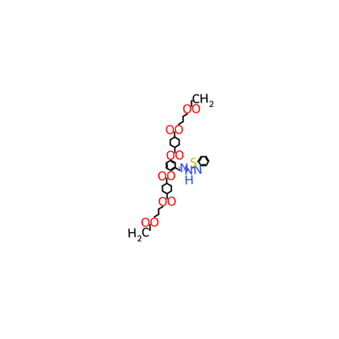 C=CC(=O)OCCCCOC(=O)C1CCC(C(=O)Oc2ccc(OC(=O)C3CCC(C(=O)OCCCCOC(=O)C=C)CC3)c(/C=N/Nc3nc4ccccc4s3)c2)CC1